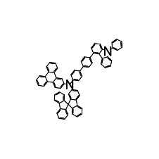 c1ccc(-n2c3ccccc3c3c(-c4ccc(-c5ccc(N(c6ccc7c(c6)C6(c8ccccc8-c8ccccc86)c6ccccc6-7)c6ccc7c8ccccc8c8ccccc8c7c6)cc5)cc4)cccc32)cc1